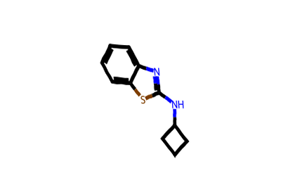 [CH]1CC(Nc2nc3ccccc3s2)C1